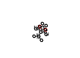 c1ccc(-c2cc(-c3cc(-n4c5ccccc5c5ncccc54)c(N4c5ccccc5C(c5ccccc5)(c5ccccc5)c5ccccc54)c(-n4c5ccccc5c5ncccc54)c3)nc(-c3ccccc3)n2)cc1